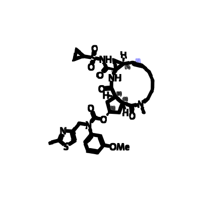 COc1cccc(N(Cc2csc(C)n2)C(=O)O[C@@H]2C[C@H]3C(=O)N[C@]4(C(=O)NS(=O)(=O)C5CC5)C[C@H]4/C=C\CCCCN(C)C(=O)[C@@H]3C2)c1